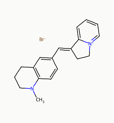 CN1CCCc2cc(C=C3CC[n+]4ccccc43)ccc21.[Br-]